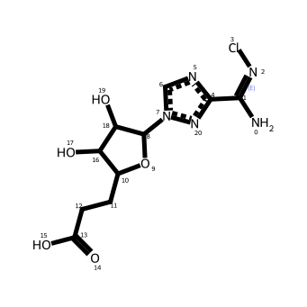 N/C(=N/Cl)c1ncn(C2OC(CCC(=O)O)C(O)C2O)n1